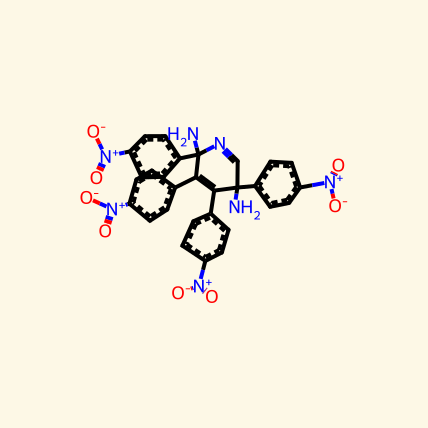 NC1(c2ccc([N+](=O)[O-])cc2)C=NC(N)(c2ccc([N+](=O)[O-])cc2)C(c2ccc([N+](=O)[O-])cc2)=C1c1ccc([N+](=O)[O-])cc1